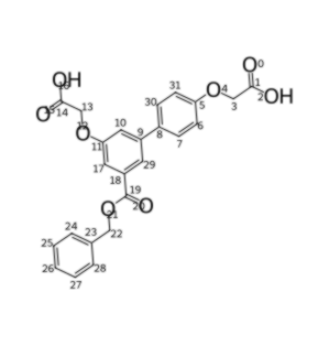 O=C(O)COc1ccc(-c2cc(OCC(=O)O)cc(C(=O)OCc3ccccc3)c2)cc1